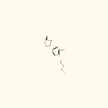 CCCCOc1ccc([C@@H]2CCC(=O)C2)cc1F